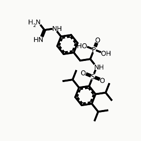 CC(C)c1ccc(C(C)C)c(S(=O)(=O)NC(Cc2ccc(NC(=N)N)cc2)P(=O)(O)O)c1C(C)C